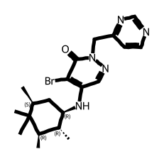 C[C@@H]1[C@@H](C)C(C)(C)[C@@H](C)C[C@H]1Nc1cnn(Cc2ccncn2)c(=O)c1Br